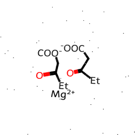 CCC(=O)CC(=O)[O-].CCC(=O)CC(=O)[O-].[Mg+2]